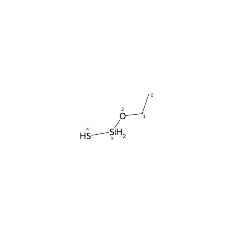 CCO[SiH2]S